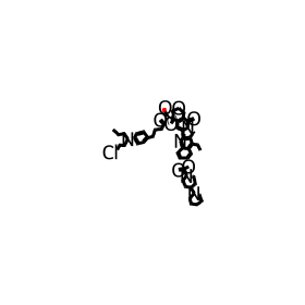 CCCN(CCCl)c1ccc(CCCC(=O)O[C@]2(CC)C(=O)OCc3c2cc2n(c3=O)Cc3c-2nc2ccc(OC(=O)N4CCC(N5CCCCC5)CC4)cc2c3CC)cc1